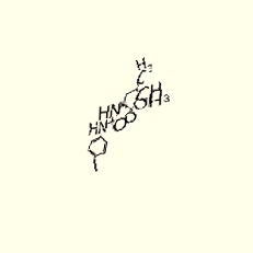 CC(C)C[C@H](NC(=O)Nc1ccc(I)cc1)C(=O)O